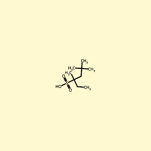 CCC(C)(CC(C)(C)C)S(=O)(=O)O